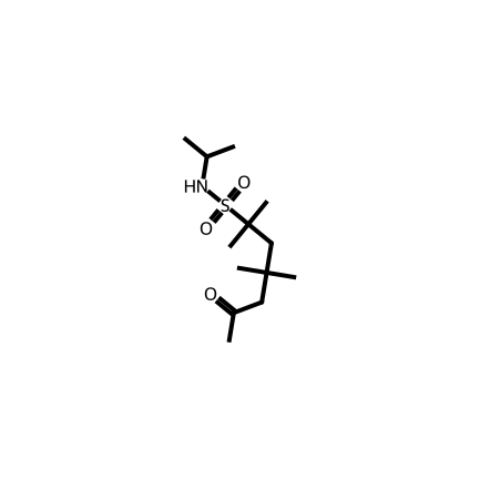 CC(=O)CC(C)(C)CC(C)(C)S(=O)(=O)NC(C)C